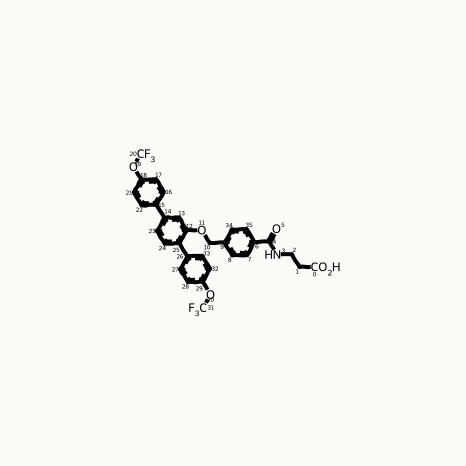 O=C(O)CCNC(=O)c1ccc(COc2cc(-c3ccc(OC(F)(F)F)cc3)ccc2-c2ccc(OC(F)(F)F)cc2)cc1